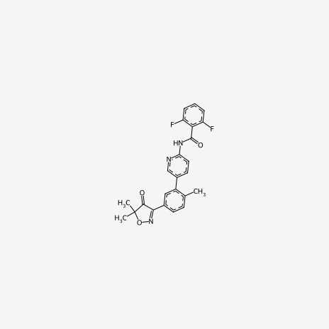 Cc1ccc(C2=NOC(C)(C)C2=O)cc1-c1ccc(NC(=O)c2c(F)cccc2F)nc1